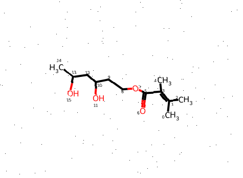 CC(C)=C(C)C(=O)OCCC(O)CC(C)O